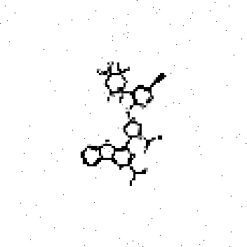 C#Cc1cnc(O[C@H]2C[C@@H](C(=O)O)N(c3nc(C(F)F)nc4c3oc3ccccc34)C2)c([C@@]2(F)CC(C)(C)S(=O)(=O)C[C@@H]2C)c1